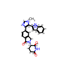 Cn1cnc(-c2ccc3c(c2)CN([C@H]2CCC(=O)NC2=O)C3=O)c1-c1cc2ccccc2[nH]1